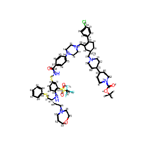 CC(C)(C)OC(=O)N1CCC(C2CCN(C[C@]3(C)CCC(c4ccc(Cl)cc4)=C(CN4CCN(c5ccc(C(=O)NSc6ccc(N[C@H](CCN7CCCOCC7)CSc7ccccc7)c(S(=O)(=O)C(F)(F)F)c6)cc5)CC4)C3)CC2)CC1